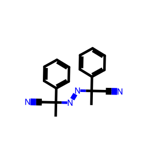 CC(C#N)(N=NC(C)(C#N)c1ccccc1)c1ccccc1